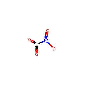 O=[N+]([O-])[U](=[O])=[O]